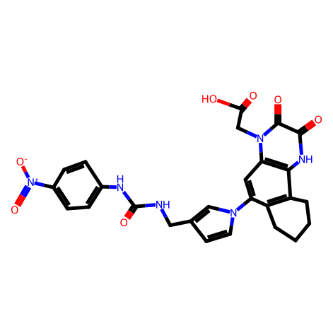 O=C(O)Cn1c(=O)c(=O)[nH]c2c3c(c(-n4ccc(CNC(=O)Nc5ccc([N+](=O)[O-])cc5)c4)cc21)CCCC3